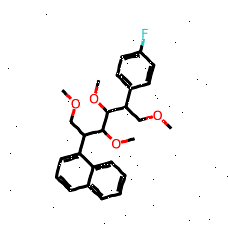 COCC(c1ccc(F)cc1)C(OC)C(OC)C(COC)c1cccc2ccccc12